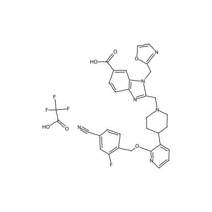 N#Cc1ccc(COc2ncccc2C2CCN(Cc3nc4ccc(C(=O)O)cc4n3Cc3ncco3)CC2)c(F)c1.O=C(O)C(F)(F)F